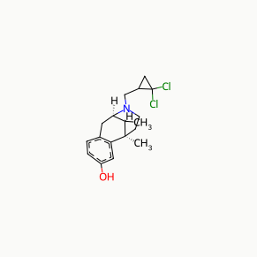 C[C@@H]1[C@H]2Cc3ccc(O)cc3[C@]1(C)CCN2CC1CC1(Cl)Cl